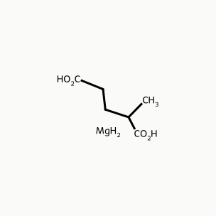 CC(CCC(=O)O)C(=O)O.[MgH2]